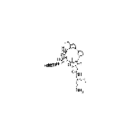 Cl.Cl.Cl.Cl.NCCC[C@H](N)CNC(=O)CNC(=O)[C@@H]1Cc2cccc(c2)-c2ccc(O)c(c2)C[C@H](N)C(=O)N[C@@H](C[C@@H](O)CN)C(=O)N1